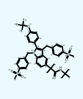 CC(C)(C)NC(=O)C(C)(C)c1ccc2c(c1)c(Cc1ccc(S(C)(=O)=O)cc1)c(-c1ccc(OC(F)(F)F)cc1)n2Cc1ccc(S(C)(=O)=O)cc1